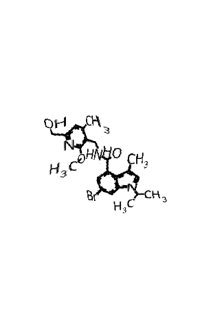 COc1nc(CO)cc(C)c1CNC(O)c1cc(Br)cc2c1c(C)cn2C(C)C